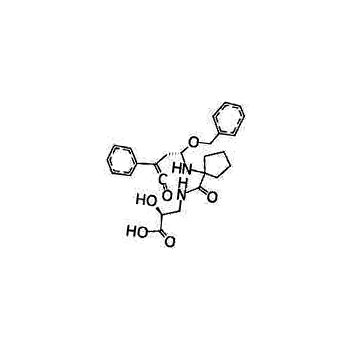 O=C=C(C[C@@H](NC1(C(=O)NC[C@H](O)C(=O)O)CCCC1)OCc1ccccc1)c1ccccc1